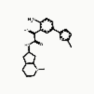 Cc1ccc(-c2ccc(N)c(C(=N)C(=O)NC3CC4CCCN(C)C4C3)c2)s1